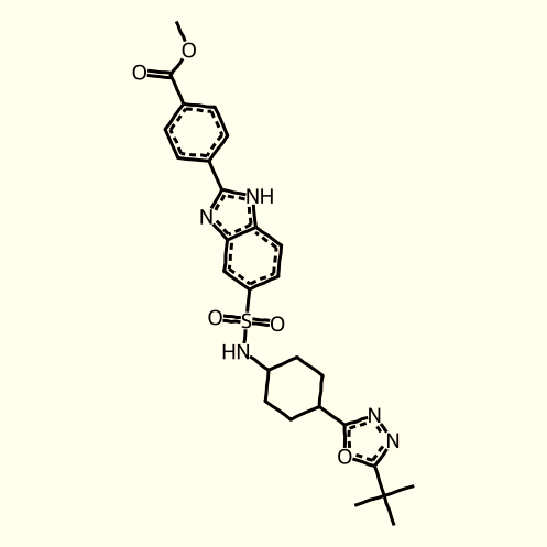 COC(=O)c1ccc(-c2nc3cc(S(=O)(=O)NC4CCC(c5nnc(C(C)(C)C)o5)CC4)ccc3[nH]2)cc1